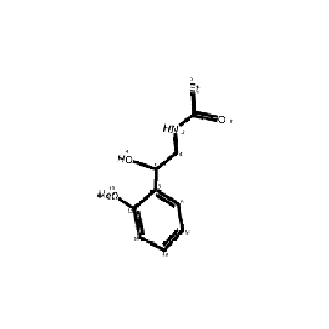 CCC(=O)NCC(O)c1ccccc1OC